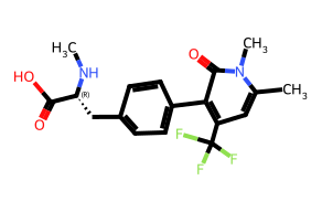 CN[C@H](Cc1ccc(-c2c(C(F)(F)F)cc(C)n(C)c2=O)cc1)C(=O)O